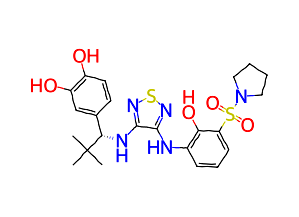 CC(C)(C)[C@@H](Nc1nsnc1Nc1cccc(S(=O)(=O)N2CCCC2)c1O)c1ccc(O)c(O)c1